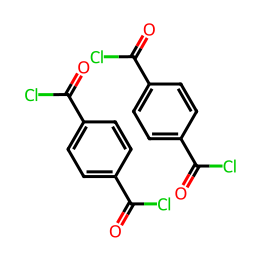 O=C(Cl)c1ccc(C(=O)Cl)cc1.O=C(Cl)c1ccc(C(=O)Cl)cc1